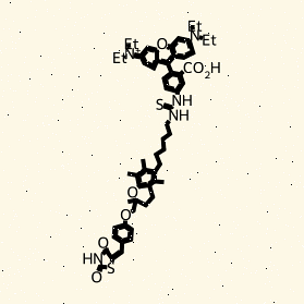 CCN(CC)c1ccc2c(-c3ccc(NC(=S)NCCCCCCc4c(C)c(C)c5c(c4C)CCC(C)(COc4ccc(C=C6SC(=O)NC6=O)cc4)O5)cc3C(=O)O)c3ccc(=[N+](CC)CC)cc-3oc2c1